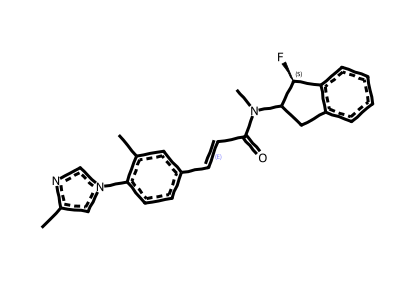 Cc1cn(-c2ccc(/C=C/C(=O)N(C)C3Cc4ccccc4[C@@H]3F)cc2C)cn1